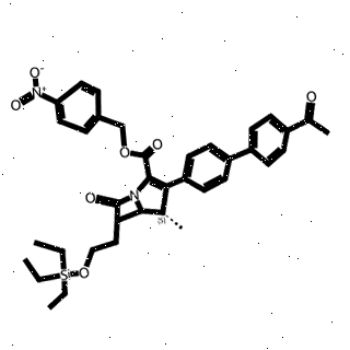 CC[Si](CC)(CC)OCCC1C(=O)N2C(C(=O)OCc3ccc([N+](=O)[O-])cc3)=C(c3ccc(-c4ccc(C(C)=O)cc4)cc3)[C@H](C)C12